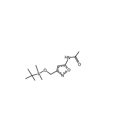 CC(=O)Nc1cc(CO[Si](C)(C)C(C)(C)C)no1